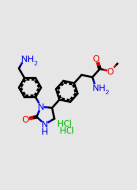 COC(=O)C(N)Cc1ccc(C2CNC(=O)N2c2ccc(CN)cc2)cc1.Cl.Cl